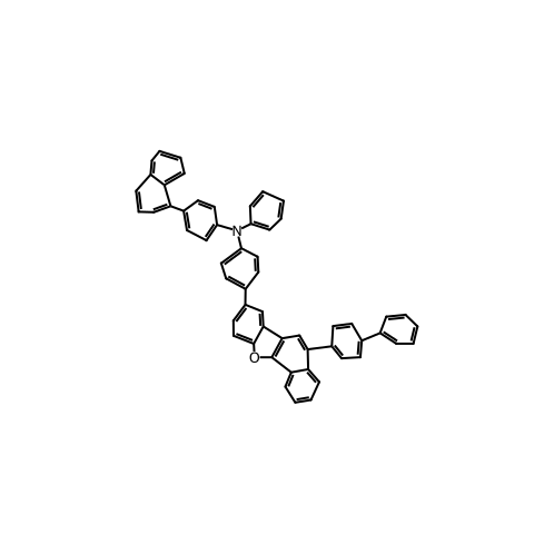 c1ccc(-c2ccc(-c3cc4c5cc(-c6ccc(N(c7ccccc7)c7ccc(-c8cccc9ccccc89)cc7)cc6)ccc5oc4c4ccccc34)cc2)cc1